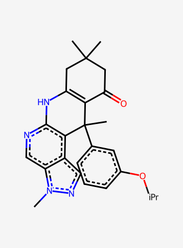 CC(C)Oc1cccc(C2(C)C3=C(CC(C)(C)CC3=O)Nc3ncc4c(cnn4C)c32)c1